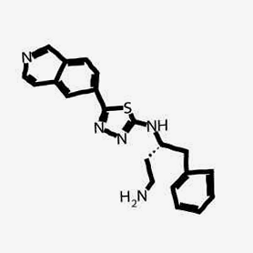 NCC[C@@H](Cc1ccccc1)Nc1nnc(-c2ccc3cnccc3c2)s1